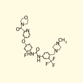 CN1CCN(Cc2ccc(NC(=O)Nc3ccc(Oc4ccnc(C(=O)N5CCOCC5)c4)cc3F)cc2C(F)(F)F)CC1